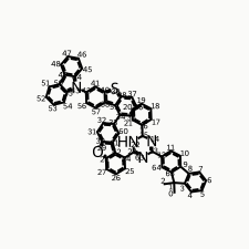 CC1(C)c2ccccc2-c2ccc(C3=NC(c4ccccc4)NC(c4cccc5oc6ccc(-c7cccc8sc9cc(-n%10c%11ccccc%11c%11ccccc%11%10)ccc9c78)cc6c45)=N3)cc21